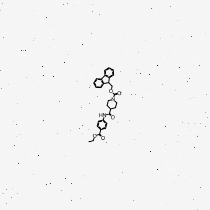 CCOC(=O)c1ccc(NC(=O)C2CCN(C(=O)OCC3c4ccccc4-c4ccccc43)CC2)cc1